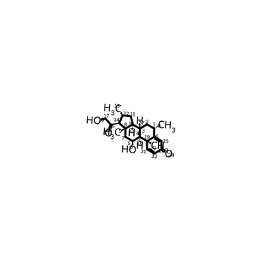 C[C@H]1C[C@@H]2[C@H]([C@@H](O)C[C@@]3(C)[C@H]2C[C@H](C)[C@@H]3C(=O)CO)[C@@]2(C)C=CC(=O)C=C12